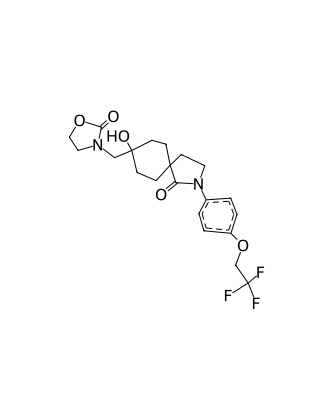 O=C1OCCN1CC1(O)CCC2(CCN(c3ccc(OCC(F)(F)F)cc3)C2=O)CC1